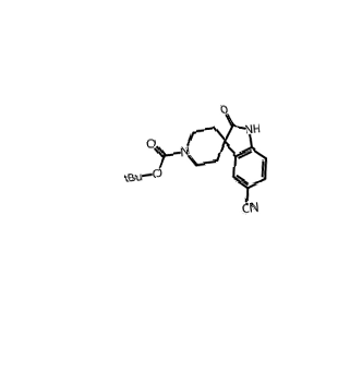 CC(C)(C)OC(=O)N1CCC2(CC1)C(=O)Nc1ccc(C#N)cc12